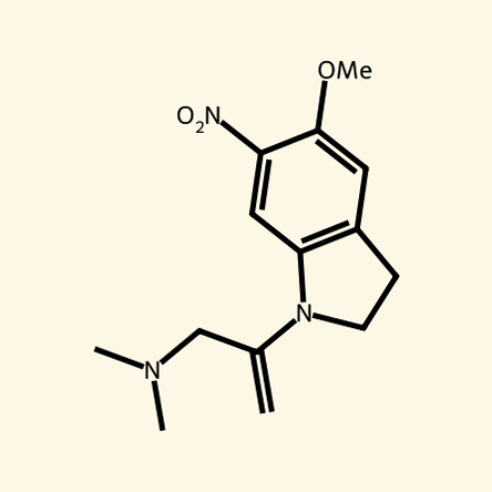 C=C(CN(C)C)N1CCc2cc(OC)c([N+](=O)[O-])cc21